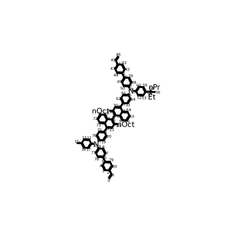 C=Cc1ccc(-c2ccc(N(c3ccc(C)cc3)c3ccc(-c4cc(CCCCCCCC)c(-c5c(CCCCCCCC)cc(-c6ccc(N(c7ccc(-c8ccc(C=C)cc8)cc7)c7ccc([C@](C)(CC)CCC)cc7)cc6)c6ccccc56)c5ccccc45)cc3)cc2)cc1